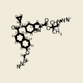 CC(C)(CN=[N+]=[N-])OC(=O)n1cc2c(n1)CCC(N(C(=O)c1ccc3cc(OCN=[N+]=[N-])ccc3c1)C1CC1)C2